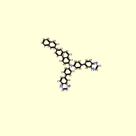 c1ccc2cc(-c3ccc4c(ccc5cc(N(c6ccc(-c7ccc8nccnc8c7)cc6)c6ccc(-c7ccc8nccnc8c7)cc6)ccc54)c3)ccc2c1